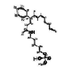 C=C/C=C/C=C\C=C(C)\C(=C\CC(=C)NCCCCCOP(=O)(O)OC)c1ccccc1